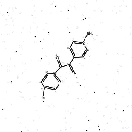 Bc1ccc(C(=O)C(=O)c2ccc(Br)cc2)cc1